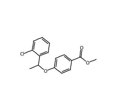 COC(=O)c1ccc(OC(C)c2ccccc2Cl)cc1